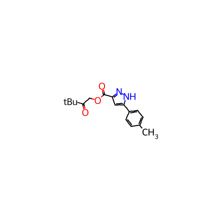 Cc1ccc(-c2cc(C(=O)OCC(=O)C(C)(C)C)n[nH]2)cc1